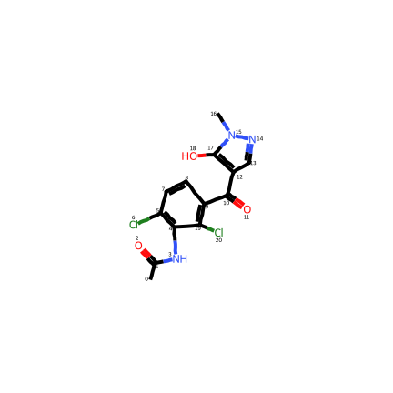 CC(=O)Nc1c(Cl)ccc(C(=O)c2cnn(C)c2O)c1Cl